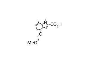 COCCOc1ccc(C)c2c1cc(C(=O)O)n2C